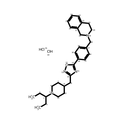 CCC(CC)N1CCC(Cc2noc(-c3ccc(CN4CCc5ccccc5C4)cc3)n2)CC1.Cl.Cl